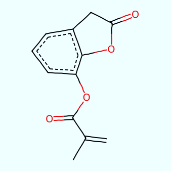 C=C(C)C(=O)Oc1cccc2c1OC(=O)C2